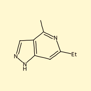 CCc1cc2[nH]ncc2c(C)n1